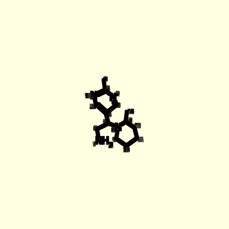 Cc1ncc(C(CN)N2CCCCC2C)cn1